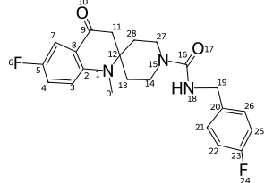 CN1c2ccc(F)cc2C(=O)CC12CCN(C(=O)NCc1ccc(F)cc1)CC2